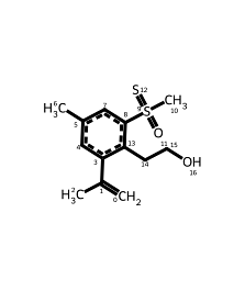 C=C(C)c1cc(C)cc(S(C)(=O)=S)c1CCO